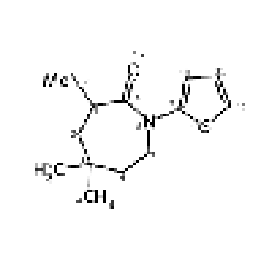 CNC1CC(C)(C)CCN(c2cccs2)C1=O